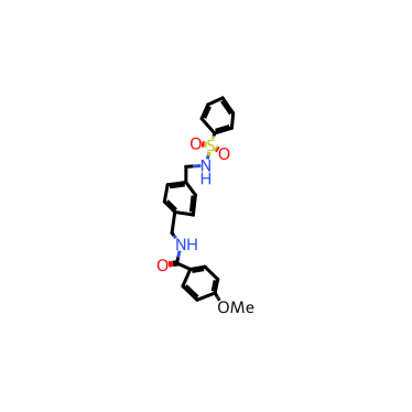 COc1ccc(C(=O)NCc2ccc(CNS(=O)(=O)c3ccccc3)cc2)cc1